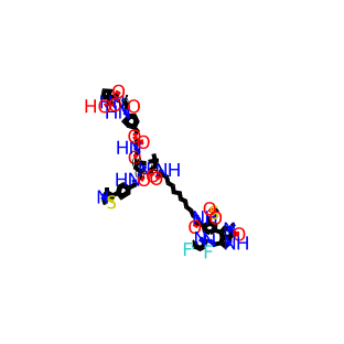 Cc1ncsc1-c1ccc(CNC(=O)[C@@H]2C[C@@H](OCNC(=O)OCc3ccc(NC(=O)[C@H](C)NC(=O)C4(C(=O)O)CCC4)cc3)CN2C(=O)[C@@H](NC(=O)CCCCCCCCCCNC(=O)c2cc3c(cc2CS(C)(=O)=O)-c2cn(C)c(=O)c4[nH]cc(c24)CN3c2ncc(F)cc2F)C(C)(C)C)cc1